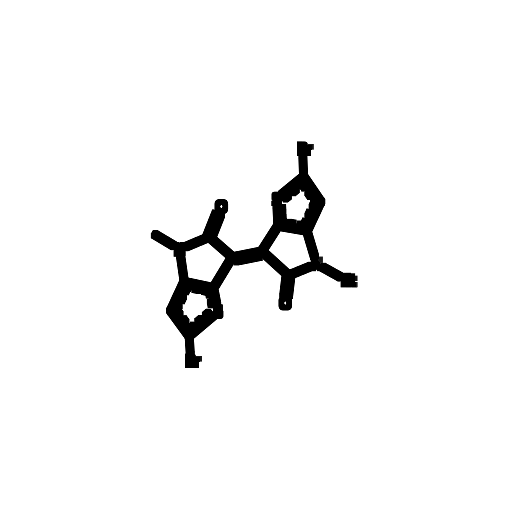 CCN1C(=O)/C(=C2/C(=O)N(C)c3cc(Br)sc32)c2sc(Br)cc21